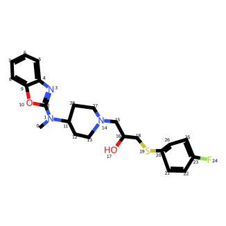 CN(c1nc2ccccc2o1)C1CCN(CC(O)CSc2ccc(F)cc2)CC1